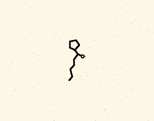 CCCCCC([O])C1CCCC1